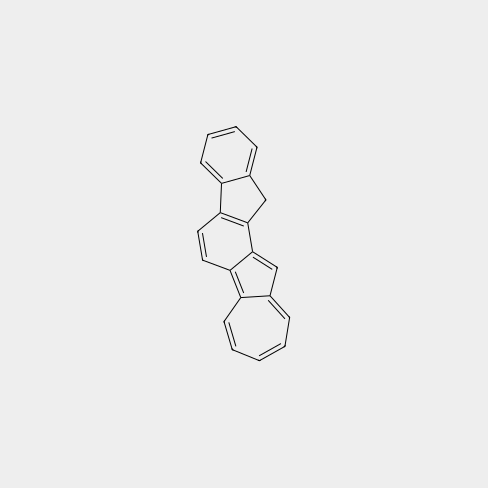 c1ccc2cc3c4c(ccc3c-2cc1)-c1ccccc1C4